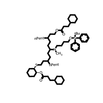 CCCCCC(CCOC(=O)CCC1CCCCC1)CCC(CCC(CCCCC)CCS[C@@H]1CCCC[C@H]1OC(=O)CCC1CCCCC1)N(C)CCCCO[Si](c1ccccc1)(c1ccccc1)C(C)(C)C